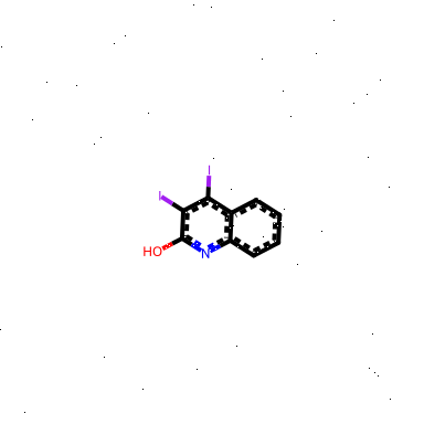 Oc1nc2ccccc2c(I)c1I